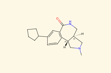 CN1C[C@@H]2CNC(=O)c3cc(C4CCCC4)ccc3[C@H]2C1